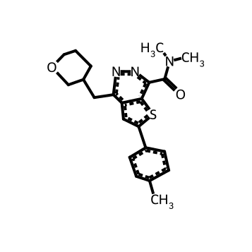 Cc1ccc(-c2cc3c(CC4CCCOC4)nnc(C(=O)N(C)C)c3s2)cc1